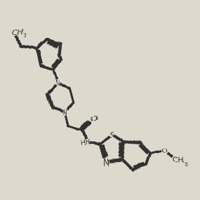 CCc1cccc(N2CCN(CC(=O)Nc3nc4ccc(OC)cc4s3)CC2)c1